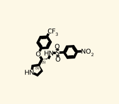 O=[N+]([O-])c1ccc(S(=O)(=O)NC[C@@H](Oc2ccc(C(F)(F)F)cc2)[C@H]2CCNC2)cc1